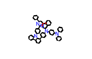 c1ccc(-c2cc(-c3ccccc3)nc(-c3ccc(-n4c5ccccc5c5cccc(-c6ccc(N(c7ccccc7)c7ccc(N(c8ccccc8)c8ccccc8)cc7)cc6)c54)cc3)n2)cc1